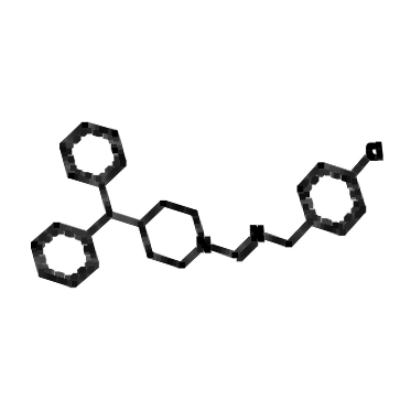 Clc1ccc(CN=CN2CCC(C(c3ccccc3)c3ccccc3)CC2)cc1